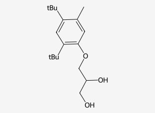 Cc1cc(OCC(O)CO)c(C(C)(C)C)cc1C(C)(C)C